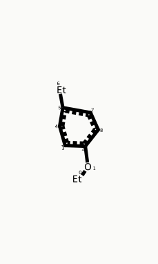 CCOc1[c]cc(CC)cc1